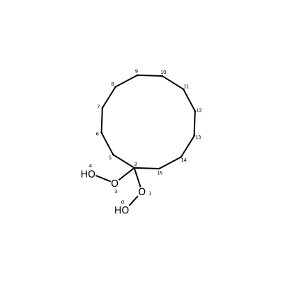 OOC1(OO)CCCCCCCCCCC1